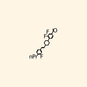 CCCc1ccc(/C=C/C2CCC(c3ccc(C4CO4)c(F)c3F)CC2)cc1F